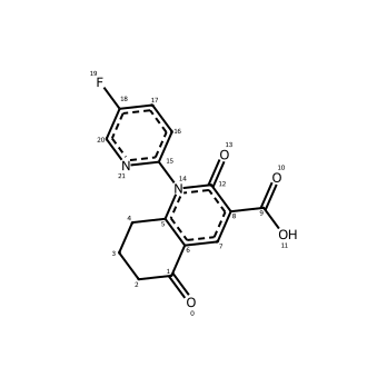 O=C1CCCc2c1cc(C(=O)O)c(=O)n2-c1ccc(F)cn1